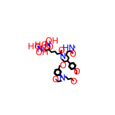 CNC(=O)CC1CC(c2ccc(OC)cc2)C(OCc2ccc3c(c2)N(CCCOC)CCO3)CN1C(=O)CCCC(CON(O)O)ON(O)O